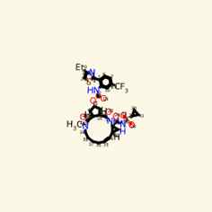 CCc1csc(-c2ccc(C(F)(F)F)cc2NC(=O)O[C@@H]2C[C@H]3C(=O)N[C@]4(C(=O)NS(=O)(=O)C5CC5)C[C@H]4/C=C\CCCCN(C)C(=O)[C@@H]3C2)n1